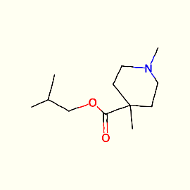 CC(C)COC(=O)C1(C)CCN(C)CC1